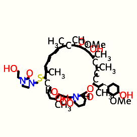 CO[C@@H]1C[C@H](C[C@@H](C)[C@@H]2CC[C@H](C)CC(C)[C@@H](O)[C@@H](OC)C(=O)[C@H](C)C[C@H](C)/C=C/C=C/C=C(\C)C(SCN3CCN(CCO)C3=O)C[C@@H]3CC[C@@H](C)[C@@](O)(O3)C(=O)C(=O)N3CCCC[C@H]3C(=O)O2)CC[C@H]1O